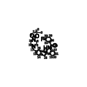 CC(C)(C)OC(=O)N1CCN(Cc2ccc3cc(-c4ccccc4NC(=O)c4cccc(F)c4)oc3c2)CC1